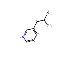 C[C](C)Cc1cccnc1